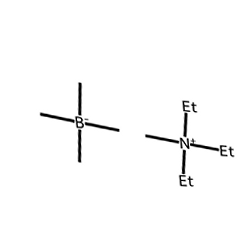 CC[N+](C)(CC)CC.C[B-](C)(C)C